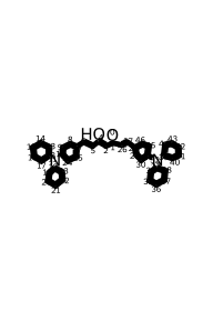 O=C(/C=C(O)/C=C/c1ccc(N(c2ccccc2)c2ccccc2)cc1)/C=C/c1ccc(N(c2ccccc2)c2ccccc2)cc1